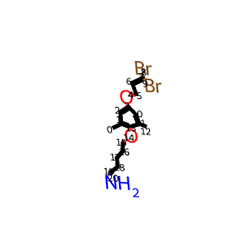 Cc1cc(OCC=C(Br)Br)cc(C)c1OCCCCCN